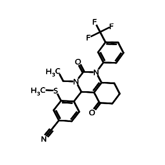 CCN1C(=O)N(c2cccc(C(F)(F)F)c2)C2=C(C(=O)CCC2)C1c1ccc(C#N)cc1SC